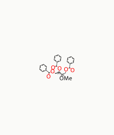 CO[C@@H](COC(=O)c1ccccc1)[C@@H](COC(=O)c1ccccc1)OC(=O)c1ccccc1